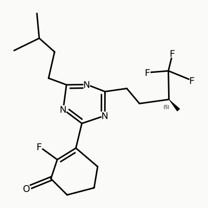 CC(C)CCc1nc(CC[C@H](C)C(F)(F)F)nc(C2=C(F)C(=O)CCC2)n1